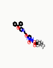 CC(C)(C)C(=O)OCn1nc2ccc(OCCCN3CCC(OC(c4ccccc4)c4ccccc4)CC3)nn2c1=O